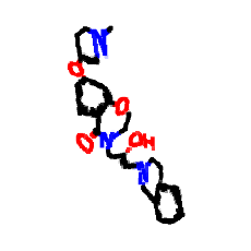 CN1CCC(Oc2ccc3c(c2)OCCN(C[C@H](O)CN2CCc4ccccc4C2)C3=O)C1